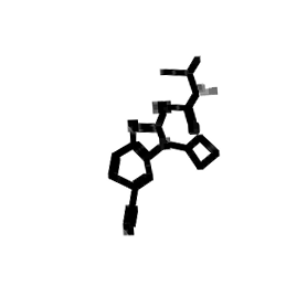 CC(C)[C@H](C)C(=O)Nc1nc2ccc(C#N)cc2n1C1CCC1